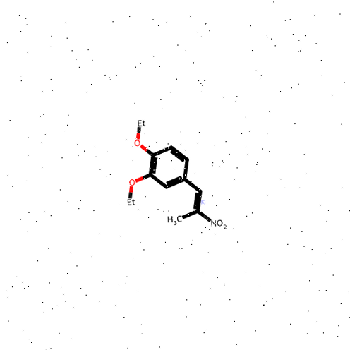 CCOc1ccc(/C=C(\C)[N+](=O)[O-])cc1OCC